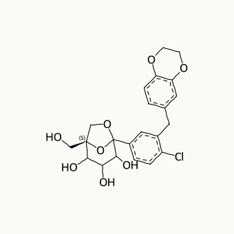 OC[C@@]12COC(c3ccc(Cl)c(Cc4ccc5c(c4)OCCO5)c3)(O1)C(O)C(O)C2O